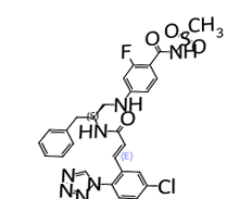 CS(=O)(=O)NC(=O)c1ccc(NC[C@H](Cc2ccccc2)NC(=O)/C=C/c2cc(Cl)ccc2-n2cnnn2)cc1F